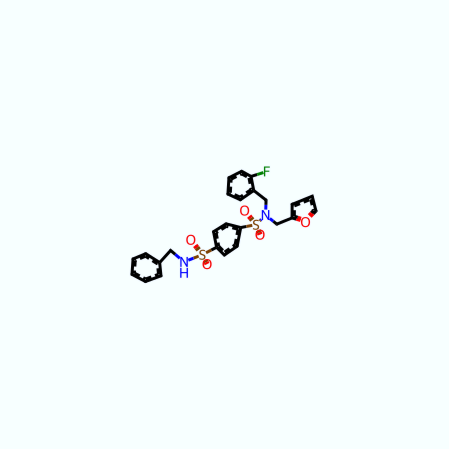 O=S(=O)(NCc1ccccc1)c1ccc(S(=O)(=O)N(Cc2ccco2)Cc2ccccc2F)cc1